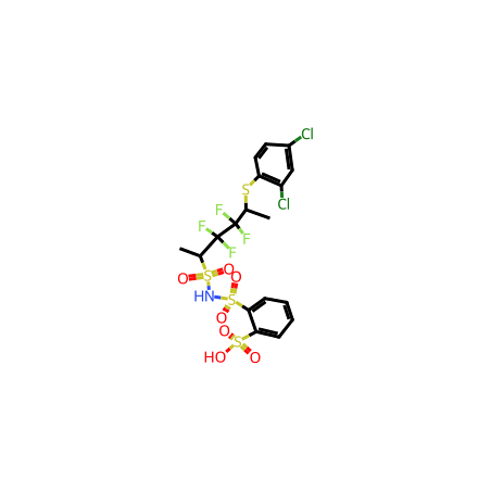 CC(Sc1ccc(Cl)cc1Cl)C(F)(F)C(F)(F)C(C)S(=O)(=O)NS(=O)(=O)c1ccccc1S(=O)(=O)O